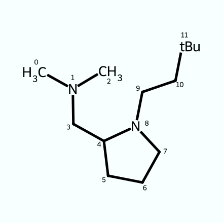 CN(C)CC1CCCN1CCC(C)(C)C